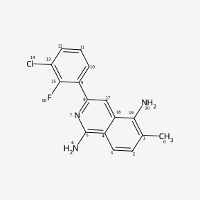 Cc1ccc2c(N)nc(-c3cccc(Cl)c3F)cc2c1N